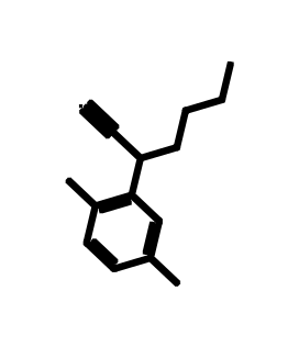 [C]#CC(CCCC)c1cc(C)ccc1C